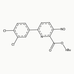 CCCCOC(=O)c1nc(-c2ccc(Cl)c(Cl)c2)ccc1N=O